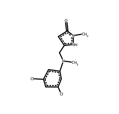 CN(Cc1cc(=O)n(C)[nH]1)c1cc(Cl)cc(Cl)c1